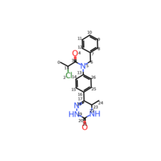 CC(Cl)C(=O)N(Cc1ccccc1)c1ccc(C2=NNC(=O)NC2C)cc1